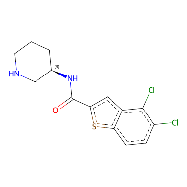 O=C(N[C@@H]1CCCNC1)c1cc2c(Cl)c(Cl)ccc2s1